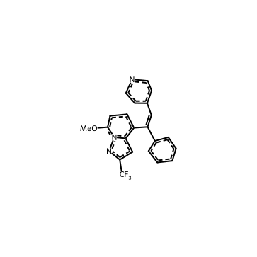 COc1ccc(/C(=C\c2ccncc2)c2ccccc2)c2cc(C(F)(F)F)nn12